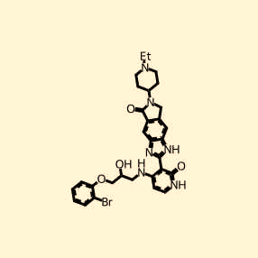 CCN1CCC(N2Cc3cc4[nH]c(-c5c(NCC(O)COc6ccccc6Br)cc[nH]c5=O)nc4cc3C2=O)CC1